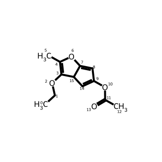 CCOC1=C(C)OC2=CC(OC(C)=O)=CC21